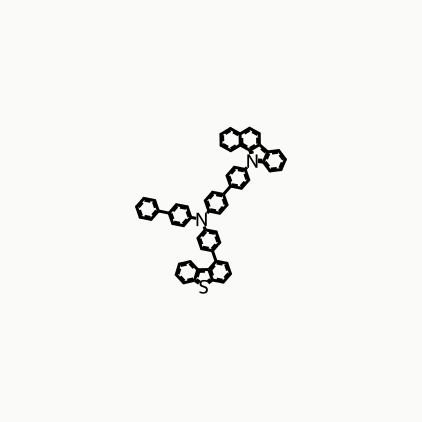 c1ccc(-c2ccc(N(c3ccc(-c4ccc(-n5c6ccccc6c6ccc7ccccc7c65)cc4)cc3)c3ccc(-c4cccc5sc6ccccc6c45)cc3)cc2)cc1